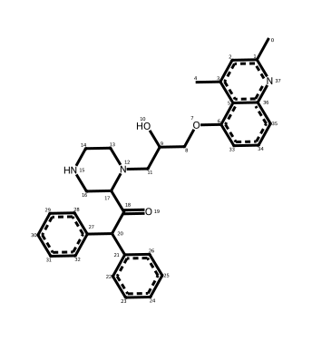 Cc1cc(C)c2c(OCC(O)CN3CCNCC3C(=O)C(c3ccccc3)c3ccccc3)cccc2n1